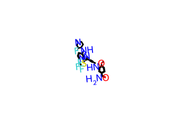 COc1ccc(C(N)=O)cc1NCC#Cc1nc2c(N[C@@H]3CCN(C)C[C@@H]3F)cccn2c1SC(F)(F)F